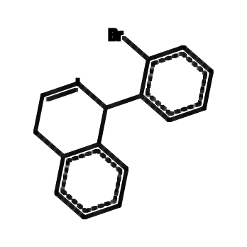 Brc1ccccc1C1[C]=CCc2ccccc21